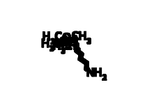 C[Si](C)(C)O[Si](C)(C)CCCCCCN